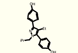 CCc1c(-c2ccc(O)cc2)nn(CC(C)C)c1-c1ccc(O)cc1